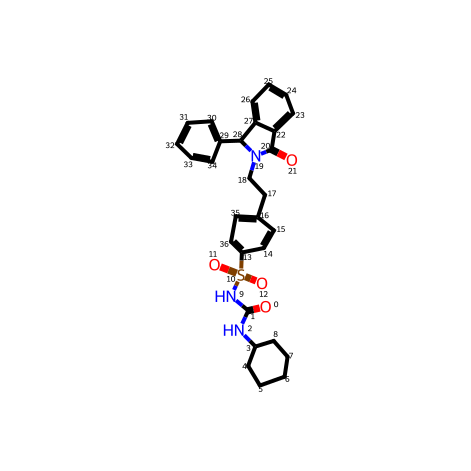 O=C(NC1CCCCC1)NS(=O)(=O)c1ccc(CCN2C(=O)c3ccccc3C2c2ccccc2)cc1